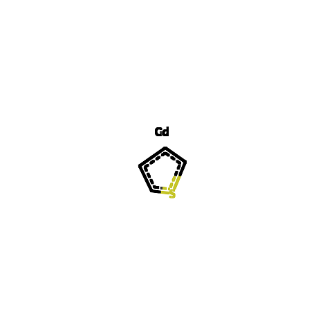 [Gd].c1ccsc1